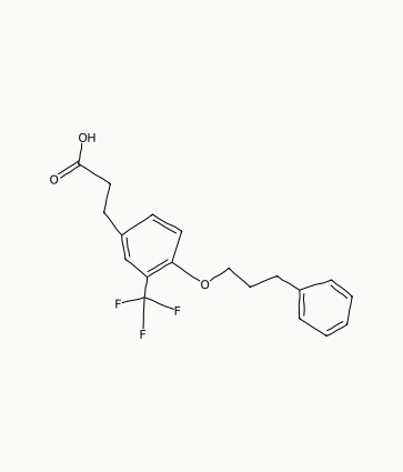 O=C(O)CCc1ccc(OCCCc2ccccc2)c(C(F)(F)F)c1